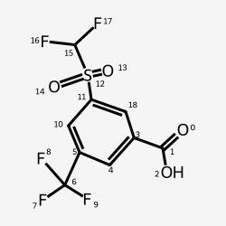 O=C(O)c1cc(C(F)(F)F)cc(S(=O)(=O)C(F)F)c1